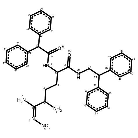 N/C(=N/[N+](=O)[O-])C(N)CCC(NC(=O)C(c1ccccc1)c1ccccc1)C(=O)NCC(c1ccccc1)c1ccccc1